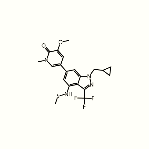 COc1cc(-c2cc(NSC)c3c(C(F)(F)F)nn(CC4CC4)c3c2)cn(C)c1=O